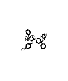 O=C([C@@H](Cc1ccc(Cl)cc1)NS(=O)(=O)c1ccccc1)N1CCC(Cn2cncn2)(C2CCCCC2)CC1